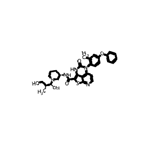 Cc1cc(Oc2ccccc2)ccc1N1C(=O)Nc2c(C(=O)N[C@@H]3CCCN([C@@H](O)[C@@H](C)CO)C3)sc3nccc1c23